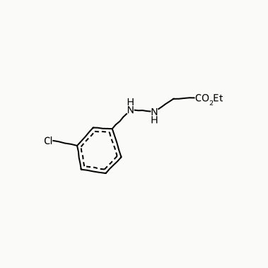 CCOC(=O)CNNc1cccc(Cl)c1